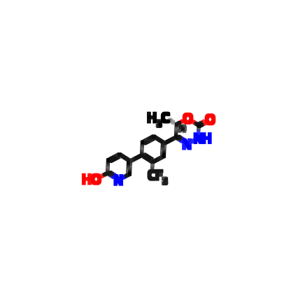 C[C@@H]1OC(=O)NN=C1c1ccc(-c2ccc(O)nc2)c(C(F)(F)F)c1